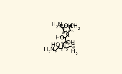 C=CCN(CC(O)CN)CC(O)C(O)CN(CC=C)CC(O)CN